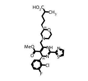 COC(=O)C1=C(CN2CCO[C@H](CCCC(C)C(=O)O)C2)NC(c2nccs2)=N[C@H]1c1cccc(F)c1Cl